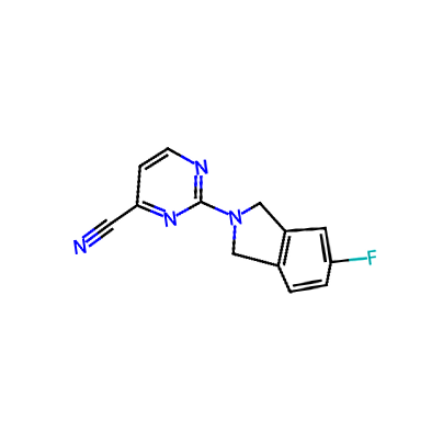 N#Cc1ccnc(N2Cc3ccc(F)cc3C2)n1